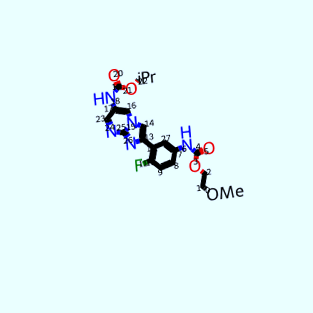 COCCOC(=O)Nc1ccc(F)c(-c2cn3cc(NC(=O)OC(C)C)cnc3n2)c1